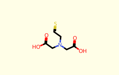 O=C(O)CN(CC=S)CC(=O)O